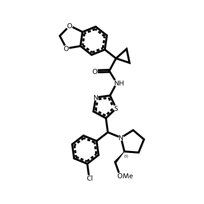 COC[C@@H]1CCCN1C(c1cccc(Cl)c1)c1cnc(NC(=O)C2(c3ccc4c(c3)OCO4)CC2)s1